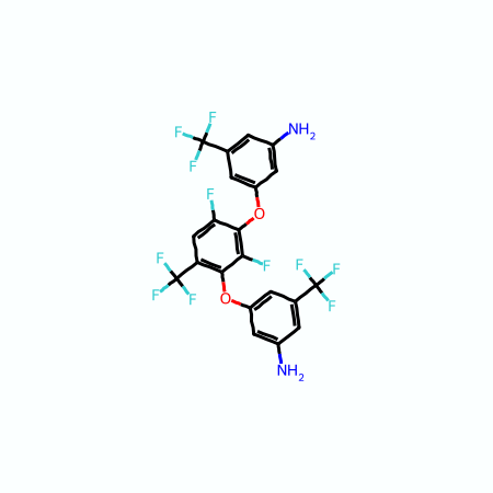 Nc1cc(Oc2c(F)cc(C(F)(F)F)c(Oc3cc(N)cc(C(F)(F)F)c3)c2F)cc(C(F)(F)F)c1